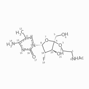 CC(=O)NCCO[C@]1(CO)O[C@@H](n2cc(C)c(N)nc2=O)[C@@H](F)[C@@H]1O